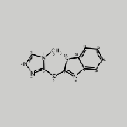 Cn1cnnc1Sc1nc2ccccc2s1